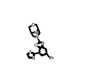 CC(C)c1cc(-c2nccs2)c2oc(N3CC4COCC(C3)N4)nc2c1